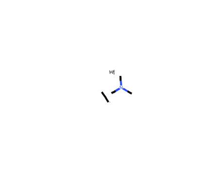 CN(C)C.[CH2]C.[Hf]